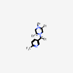 CC[C@H]1CN([C@@H](CC)c2ccc(C(F)(F)F)nc2)[C@H](CC)CN1C(C)C